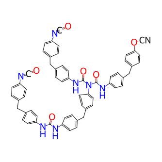 N#COc1ccc(Cc2ccc(NC(=O)N(C(=O)Nc3ccc(Cc4ccc(N=C=O)cc4)cc3)c3ccc(Cc4ccc(NC(=O)Nc5ccc(Cc6ccc(N=C=O)cc6)cc5)cc4)cc3)cc2)cc1